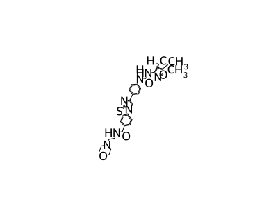 CC(C)(C)c1cc(NC(=O)Nc2ccc(-c3cn4c(n3)sc3cc(C(=O)NCCN5CCOCC5)ccc34)cc2)no1